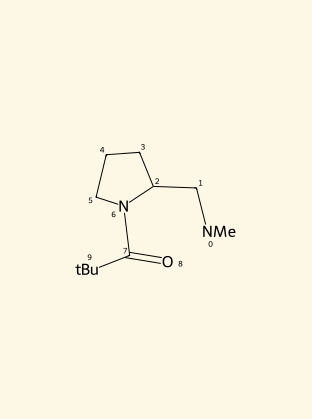 CNCC1CCCN1C(=O)C(C)(C)C